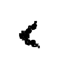 C=CC(=O)N1CCC[C@@H](n2nc(-c3ccc(Oc4cccc(F)c4)cc3)c3c(N)ncnc32)C1